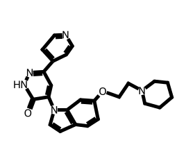 O=c1[nH]nc(-c2ccncc2)cc1-n1ccc2ccc(OCCN3CCCCC3)cc21